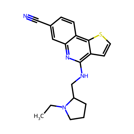 CCN1CCCC1CNc1nc2cc(C#N)ccc2c2sccc12